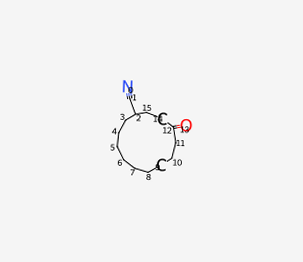 N#CC1CCCCCCCCCC(=O)CC1